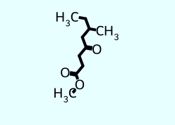 CCC(C)CC(=O)CCC(=O)OC